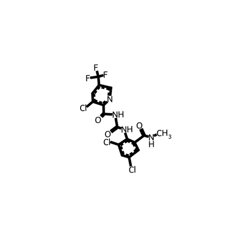 CNC(=O)c1cc(Cl)cc(Cl)c1NC(=O)NC(=O)c1ncc(C(F)(F)F)cc1Cl